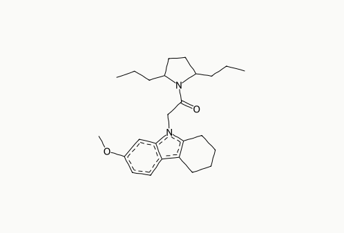 CCCC1CCC(CCC)N1C(=O)Cn1c2c(c3ccc(OC)cc31)CCCC2